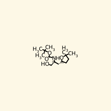 CC(C)(C)OC(=O)N[C@H](CO)C[C@H]1CCC(C)(C)O1